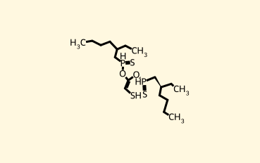 CCCCC(CC)C[PH](=S)OC(=CS)O[PH](=S)C[C@@H](CC)CCCC